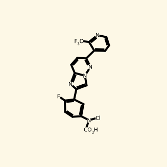 O=C(O)N(Cl)c1ccc(F)c(-c2cn3nc(-c4cccnc4C(F)(F)F)ccc3n2)c1